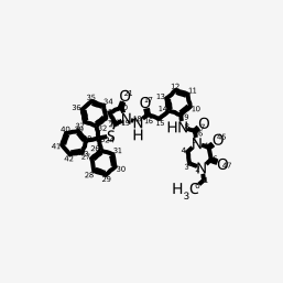 CCN1CCN(C(=O)Nc2ccccc2CC(=O)NN2C(=O)C[C@H]2SC(c2ccccc2)(c2ccccc2)c2ccccc2)C(=O)C1=O